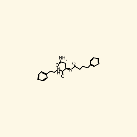 NC(=O)C/C(=N\C(=O)CCCc1ccccc1)C(=O)NCCc1ccccc1